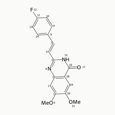 COc1cc2nc(/C=C/c3ccc(F)cc3)[nH]c(=O)c2cc1OC